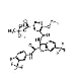 COc1ncc(C(=O)OC(C)(C)C)cc1C(=O)Nc1c(C(=O)Nc2ccc(F)c(C(F)(F)F)c2)sc2cc(C(F)(F)F)ccc12